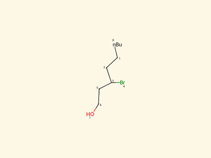 CCCCCCC(Br)CCO